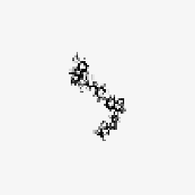 COc1cccc([C@@](O)(C(=O)N(C)CCCC2CCN(c3ccc(C(=O)N4CC(NC(=O)OC(C)(C)C)C4)c(Cl)n3)CC2)C(F)(F)F)c1